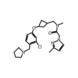 Cc1ccn(CC(=O)N(C)CC2CC(Oc3ccc(CN4CCCC4)c(Cl)c3)C2)n1